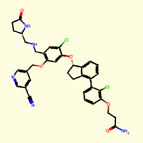 N#Cc1cncc(COc2cc(O[C@H]3CCc4c(-c5cccc(OCCC(N)=O)c5Cl)cccc43)c(Cl)cc2CNC[C@H]2CCC(=O)N2)c1